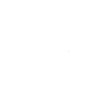 Cn1cnc(C(=O)N(Cc2ccc(F)c(Br)c2)C2CCCCC2)n1